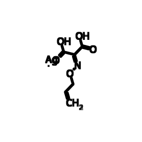 C=CCON=C(C(=O)O)C(=O)O.[Ag]